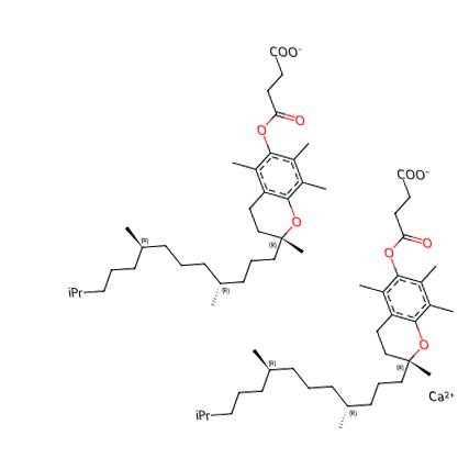 Cc1c(C)c2c(c(C)c1OC(=O)CCC(=O)[O-])CC[C@@](C)(CCC[C@H](C)CCC[C@H](C)CCCC(C)C)O2.Cc1c(C)c2c(c(C)c1OC(=O)CCC(=O)[O-])CC[C@@](C)(CCC[C@H](C)CCC[C@H](C)CCCC(C)C)O2.[Ca+2]